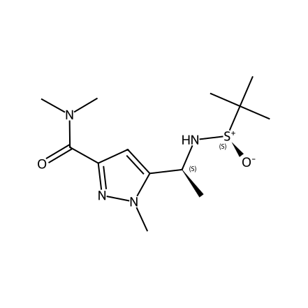 C[C@H](N[S@+]([O-])C(C)(C)C)c1cc(C(=O)N(C)C)nn1C